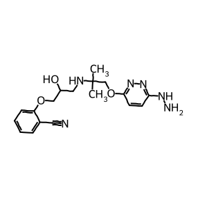 CC(C)(COc1ccc(NN)nn1)NCC(O)COc1ccccc1C#N